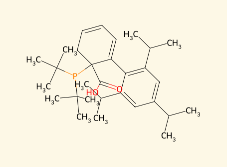 CC(C)c1cc(C(C)C)c(C2=CC=CCC2(C(=O)O)P(C(C)(C)C)C(C)(C)C)c(C(C)C)c1